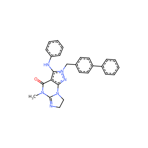 CN1C(=O)c2c(nn(Cc3ccc(-c4ccccc4)cc3)c2Nc2ccccc2)N2CCN=C12